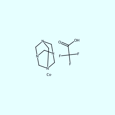 C1N2CN3CN1CN(C2)C3.O=C(O)C(F)(F)F.[Co]